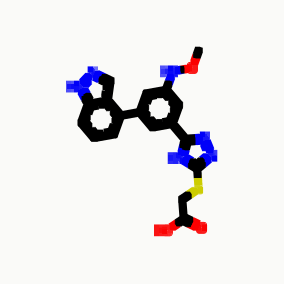 CONc1cc(-c2nnc(SCC(=O)O)[nH]2)cc(-c2cccc3[nH]ncc23)c1